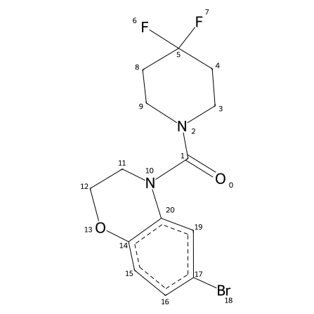 O=C(N1CCC(F)(F)CC1)N1CCOc2ccc(Br)cc21